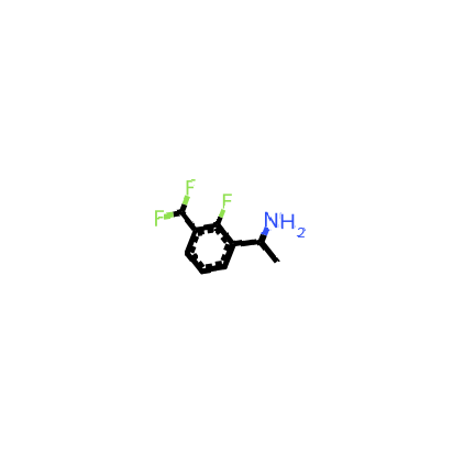 CC(N)c1cccc(C(F)F)c1F